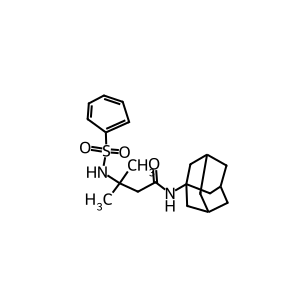 CC(C)(CC(=O)NC12CC3CC(CC(C3)C1)C2)NS(=O)(=O)c1ccccc1